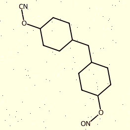 N#COC1CCC(CC2CCC(ON=O)CC2)CC1